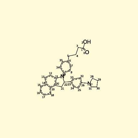 O=C(O)CCCc1ccc(N2c3ccc4ccccc4c3CC2c2ccc(N3CCCC3)cc2)cc1